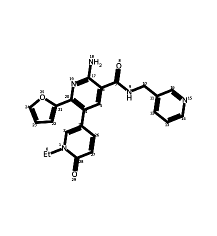 CCn1cc(-c2cc(C(=O)NCc3cccnc3)c(N)nc2-c2ccco2)ccc1=O